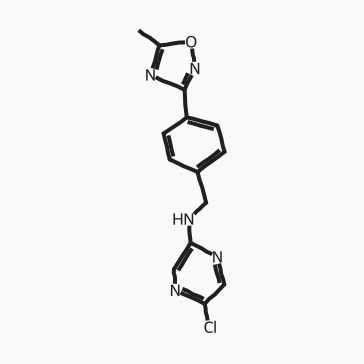 Cc1nc(-c2ccc(CNc3cnc(Cl)cn3)cc2)no1